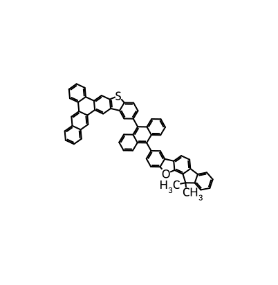 CC1(C)c2ccccc2-c2ccc3c(oc4ccc(-c5c6ccccc6c(-c6ccc7sc8cc9c%10ccccc%10c%10cc%11ccccc%11cc%10c9cc8c7c6)c6ccccc56)cc43)c21